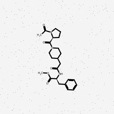 COC(=O)[C@H](Cc1ccccc1)NC(=O)CC1CCN(C(=O)[C@@H]2CCCN2C(C)=O)CC1